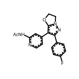 CC(=O)Nc1cc(-c2c(-c3ccc(F)cc3)nn3c2OCC3)ccn1